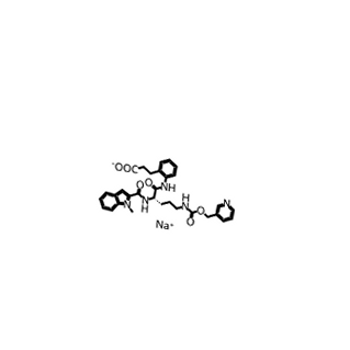 Cn1c(C(=O)N[C@@H](CCCNC(=O)OCc2cccnc2)C(=O)Nc2ccccc2CCC(=O)[O-])cc2ccccc21.[Na+]